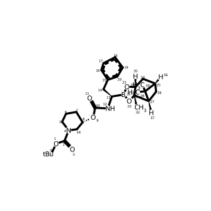 CC(C)(C)OC(=O)N1CCC[C@H](OC(=O)N[C@@H](Cc2ccccc2)B2O[C@@H]3C[C@@H]4C[C@@H](C4(C)C)[C@]3(C)O2)C1